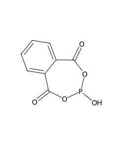 O=C1OP(O)OC(=O)c2ccccc21